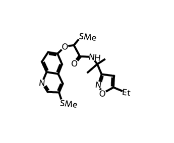 CCc1cc(C(C)(C)NC(=O)C(Oc2ccc3ncc(SC)cc3c2)SC)no1